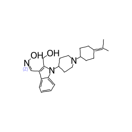 CC(C)=C1CCC(N2CCC(n3c(CO)c(/C=N\O)c4ccccc43)CC2)CC1